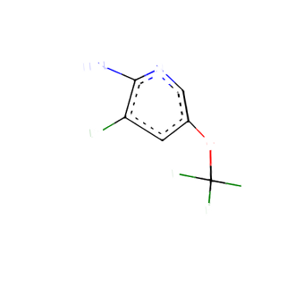 Nc1ncc(OC(F)(F)F)cc1Br